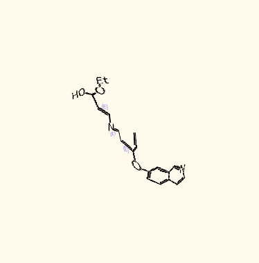 C=C\C(=C/C=N/C=C/C(O)OCC)Oc1ccc2ccncc2c1